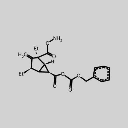 C=C1[C@H](CC)C2[C@H](C(=O)OC(=O)OCc3ccccc3)[C@H]2[C@]1(CC)C(=O)ON